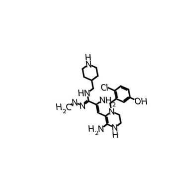 C=N/N=C(NCC1CCNCC1)/C(N)=C/C1=C(N)NCCN1Cc1cc(O)ccc1Cl